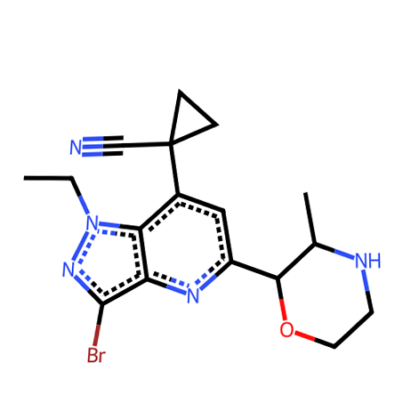 CCn1nc(Br)c2nc(C3OCCNC3C)cc(C3(C#N)CC3)c21